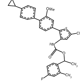 COc1cc(-c2sc(Cl)cc2NC(=O)OC(C)c2ccc(F)cc2C)ccc1-c1ccc(C2CC2)cc1